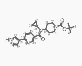 CC(C)(C)OC(=O)N1CCC(N(C(=O)c2ccc(-c3cn[nH]c3)nc2)C2CC2)CC1